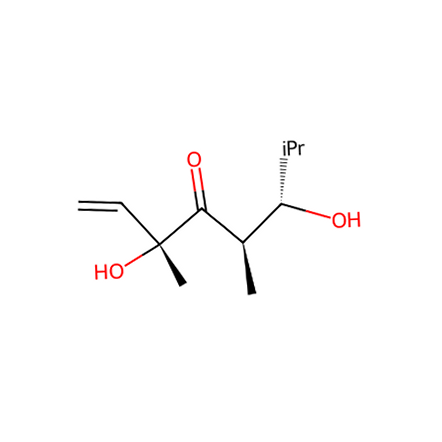 C=C[C@@](C)(O)C(=O)[C@H](C)[C@@H](O)C(C)C